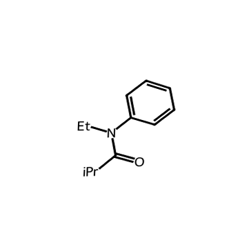 [CH2]CN(C(=O)C(C)C)c1ccccc1